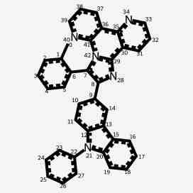 Cc1ccccc1-c1c(-c2ccc3c(c2)c2ccccc2n3-c2ccccc2)nc2c3cccnc3c3cccnc3n12